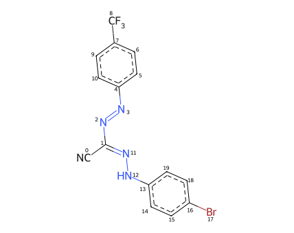 N#CC(N=Nc1ccc(C(F)(F)F)cc1)=NNc1ccc(Br)cc1